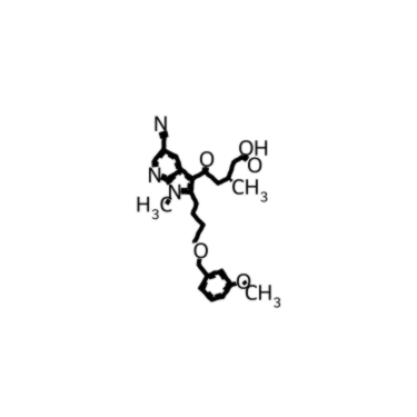 COc1cccc(COCCCCc2c(C(=O)C[C@H](C)CC(=O)O)c3cc(C#N)cnc3n2C)c1